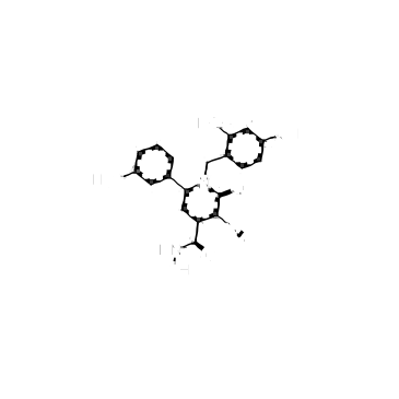 [C-]#[N+]c1c(C(=O)NC)cc(-c2cccc(C)c2)n(Cc2ccc(C)cc2C)c1=O